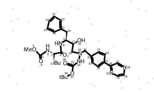 CC[C@H](C)[C@H](NC(=O)OC)C(=O)N[C@@H](Cc1ccccc1)[C@@H](O)CN(Cc1ccc(-c2cnccn2)cc1)NC(=O)OC(C)(C)C